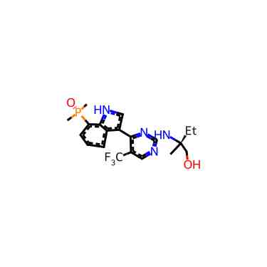 CC[C@](C)(CO)Nc1ncc(C(F)(F)F)c(-c2c[nH]c3c(P(C)(C)=O)cccc23)n1